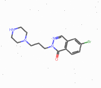 O=c1c2ccc(Br)cc2cnn1CCCN1CCNCC1